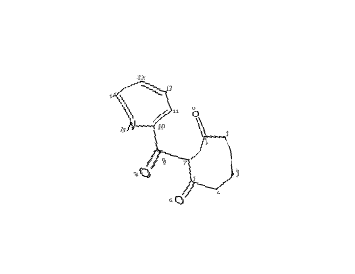 O=C1CCCC(=O)C1C(=O)c1ccccn1